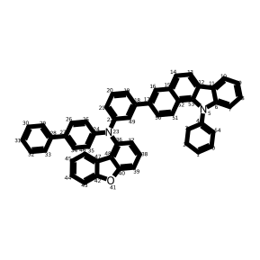 C1=CCCC(n2c3ccccc3c3ccc4cc(-c5cccc(N(c6ccc(-c7ccccc7)cc6)c6cccc7oc8ccccc8c67)c5)ccc4c32)=C1